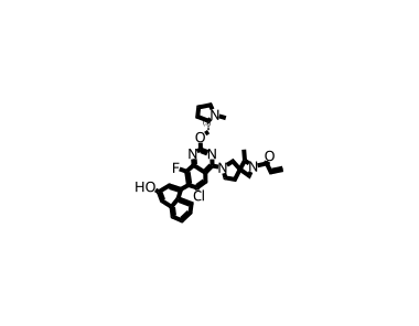 C=CC(=O)N1CC2(CCN(c3nc(OC[C@@H]4CCCN4C)nc4c(F)c(-c5cc(O)cc6ccccc56)c(Cl)cc34)C2)C1C